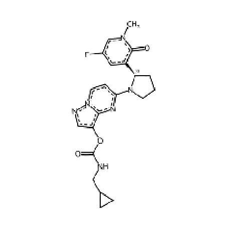 Cn1cc(F)cc([C@H]2CCCN2c2ccn3ncc(OC(=O)NCC4CC4)c3n2)c1=O